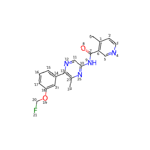 Cc1ccncc1C(=O)Nc1cnc(-c2cccc(OCF)c2)c(C)n1